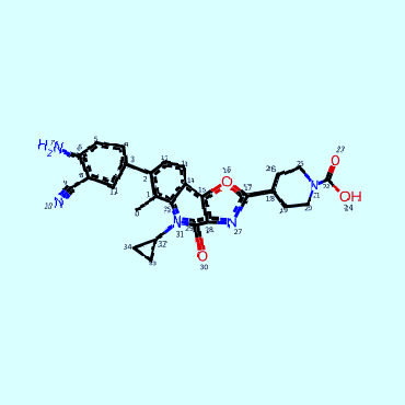 Cc1c(-c2ccc(N)c(C#N)c2)ccc2c3oc(C4CCN(C(=O)O)CC4)nc3c(=O)n(C3CC3)c12